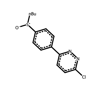 CCCC[S+]([O-])c1ccc(-c2ccc(Cl)nn2)cc1